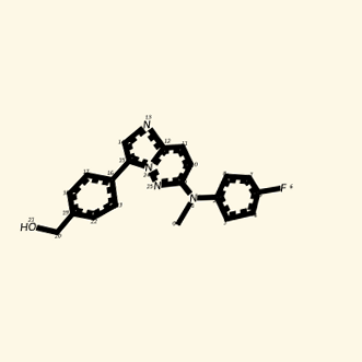 CN(c1ccc(F)cc1)c1ccc2ncc(-c3ccc(CO)cc3)n2n1